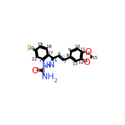 NC(=O)n1nc(/C=C/c2ccc3c(c2)OCO3)c2c[c]c(F)cc21